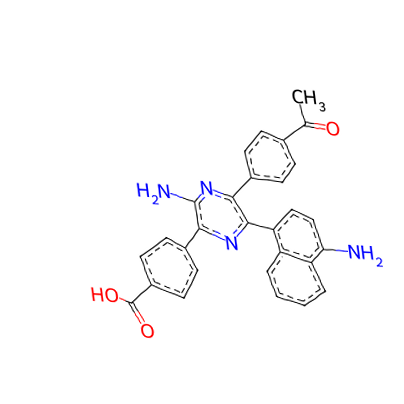 CC(=O)c1ccc(-c2nc(N)c(-c3ccc(C(=O)O)cc3)nc2-c2ccc(N)c3ccccc23)cc1